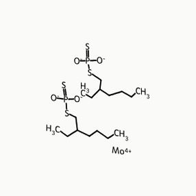 CCCCC(CC)CSP([O-])([O-])=S.CCCCC(CC)CSP([O-])([O-])=S.[Mo+4]